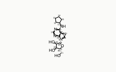 OC[C@H]1O[C@@H](n2cnc3c(NC4CCCC4)ncnc32)C(O)C1O